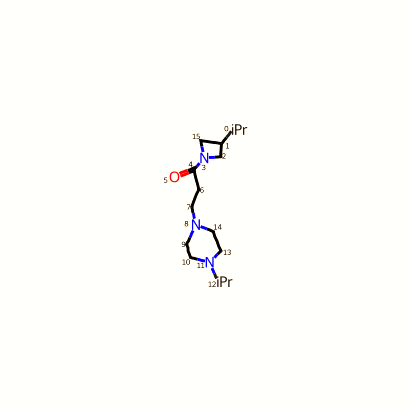 CC(C)C1CN(C(=O)CCN2CCN(C(C)C)CC2)C1